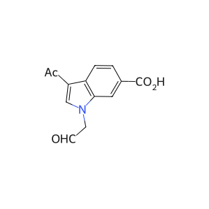 CC(=O)c1cn(CC=O)c2cc(C(=O)O)ccc12